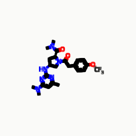 Cc1cc(N(C)C)nc(N[C@H]2C[C@@H](C(=O)N(C)C)N(C(=O)Cc3ccc(OC(F)(F)F)cc3)C2)n1